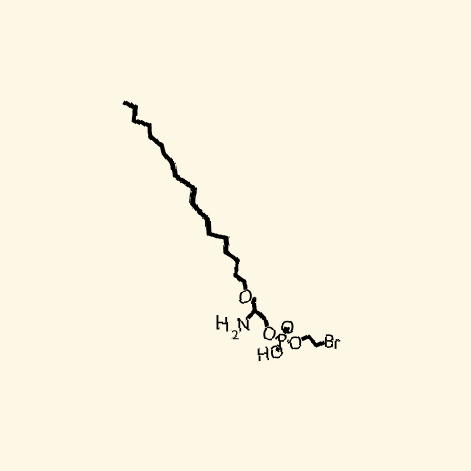 CCCCCCCCCCCCCCCCCCOCC(N)COP(=O)(O)OCCBr